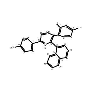 Cc1cc(F)ccc1-c1ncc(-c2ccc(F)cc2)nc1-c1cccc2ccccc12